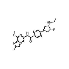 CCN[C@H]1CN(c2cnc(C(=O)Nc3cn4cc(C)nc4c(OC)n3)cn2)C[C@H]1F